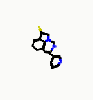 S=C1CN2CNC(c3cccnc3)=CC3=C2C1=CCC3